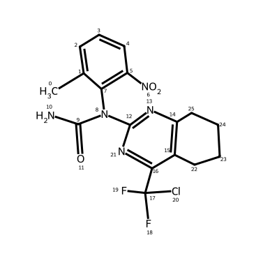 Cc1cccc([N+](=O)[O-])c1N(C(N)=O)c1nc2c(c(C(F)(F)Cl)n1)CCCC2